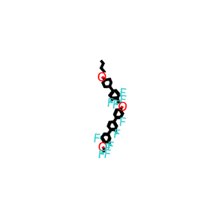 CCCCOC1CCC(c2cc(F)c(C(F)(F)Oc3ccc(-c4ccc(-c5cc(F)c(OC(F)(F)F)c(F)c5)c(F)c4)c(F)c3)c(F)c2)CC1